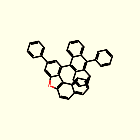 c1ccc(-c2cc(-c3c4ccccc4c(-c4ccccc4)c4ccccc34)c3c(c2)oc2ccc4ccccc4c23)cc1